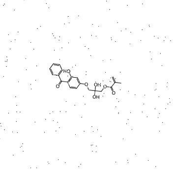 C=C(C)C(=O)OCC(O)(O)COc1ccc(C(=O)c2ccccc2)c(O)c1